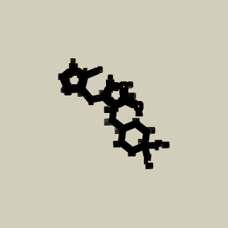 Cc1ncsc1Cc1noc(=O)n1CC1CCC(F)(F)CC1